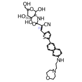 N#C/C(=C\c1ccc(-c2ccc3cc(NCCN4CCOCC4)ccc3c2)s1)C(=O)N[C@H]1C(O)O[C@H](CO)[C@@H](O)[C@@H]1O